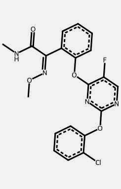 CNC(=O)C(=NOC)c1ccccc1Oc1nc(Oc2ccccc2Cl)ncc1F